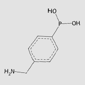 NCc1ccc(P(O)O)cc1